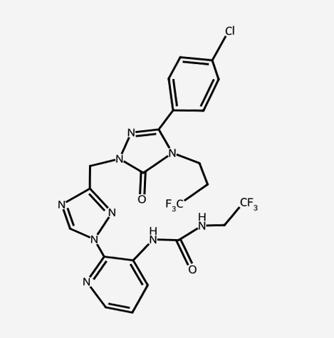 O=C(NCC(F)(F)F)Nc1cccnc1-n1cnc(Cn2nc(-c3ccc(Cl)cc3)n(CCC(F)(F)F)c2=O)n1